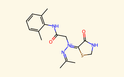 CC(C)=N[N+](CC(=O)Nc1c(C)cccc1C)=C1SCNC1=O